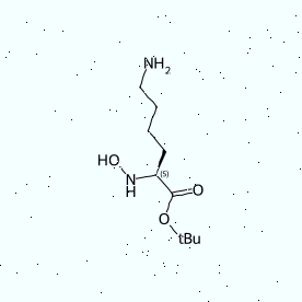 CC(C)(C)OC(=O)[C@H](CCCCN)NO